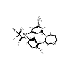 Cc1cc(N2CCCOC[C@H]2c2cc(NC(=O)C(F)(F)F)ccc2Cl)nc(N)n1